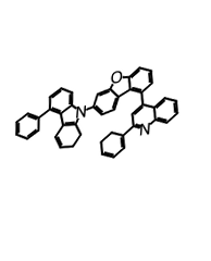 C1=CCCC(c2cc(-c3cccc4oc5cc(-n6c7c(c8c(-c9ccccc9)cccc86)C=CCC7)ccc5c34)c3ccccc3n2)=C1